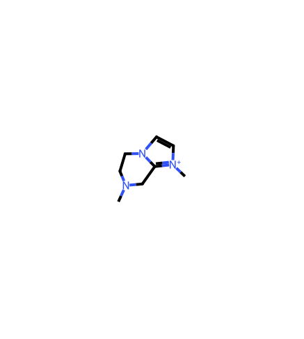 CN1CCn2cc[n+](C)c2C1